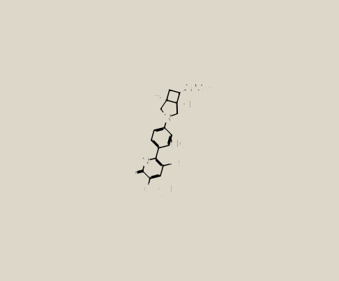 CCc1cc(C(=O)O)c(=O)[nH]c1-c1ccc(N2C[C@H]3C[C@@H](NC)[C@H]3C2)cc1.Cl